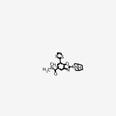 CN(C)C(=O)c1cc(-c2nccs2)c2oc(N3CC4CCC(C3)N4)nc2c1